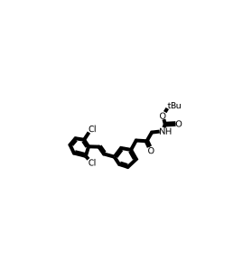 CC(C)(C)OC(=O)NCC(=O)Cc1cccc(C=Cc2c(Cl)cccc2Cl)c1